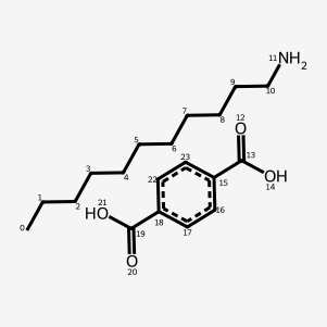 CCCCCCCCCCCN.O=C(O)c1ccc(C(=O)O)cc1